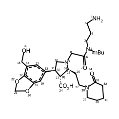 CCCCN(CCCN)C(=O)CN1C[C@H](c2cc(CO)c3c(c2)OCO3)[C@@H](C(=O)O)[C@@H]1CCN1CCCCC1=O